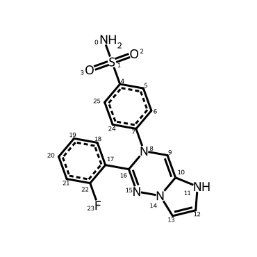 NS(=O)(=O)c1ccc(N2C=C3NC=CN3N=C2c2ccccc2F)cc1